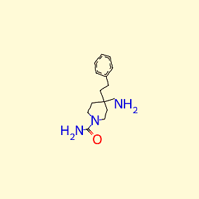 NCC1(CCc2ccccc2)CCN(C(N)=O)CC1